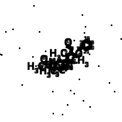 CN/C(Cc1c([C@H](C)C(CC=O)C(C)OCc2ccccc2)cnn1C)=N\OC(C)=O